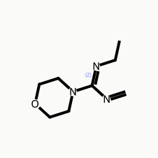 C=N/C(=N\CC)N1CCOCC1